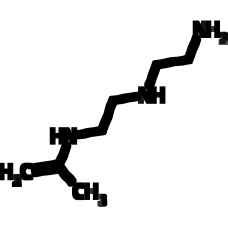 C=C(C)NCCNCCN